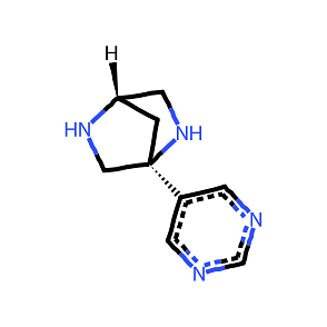 c1ncc([C@@]23CN[C@H](CN2)C3)cn1